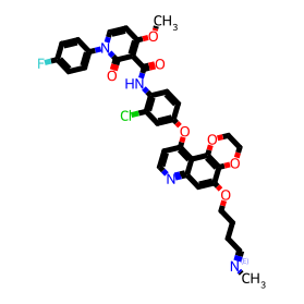 C/N=C/CCCOc1cc2nccc(Oc3ccc(NC(=O)c4c(OC)ccn(-c5ccc(F)cc5)c4=O)c(Cl)c3)c2c2c1OCCO2